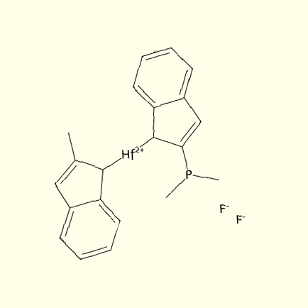 CC1=Cc2ccccc2[CH]1[Hf+2][CH]1C(P(C)C)=Cc2ccccc21.[F-].[F-]